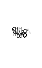 CC1C=NN(C(=O)NS(=O)(=O)c2ccccc2C(F)(F)F)C1